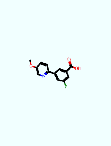 COc1ccc(-c2cc(F)cc(C(=O)O)c2)nc1